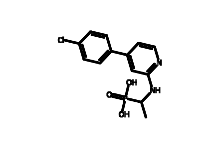 CC(Nc1cc(-c2ccc(Cl)cc2)ccn1)P(=O)(O)O